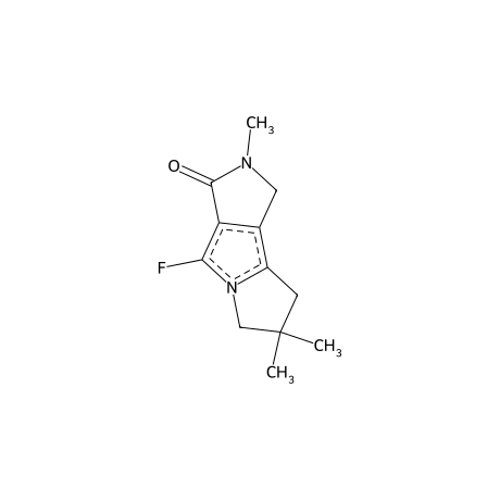 CN1Cc2c(c(F)n3c2CC(C)(C)C3)C1=O